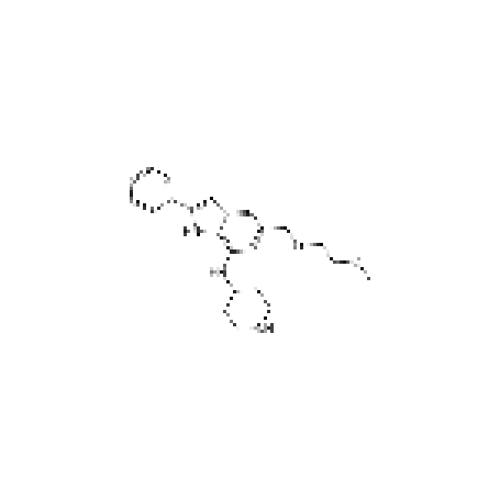 COCCOCc1cc(NC2CCNCC2)c2[nH]c(-c3ccccc3)cc2c1